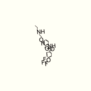 CCCNCCOc1ccc(NS(=O)(=O)c2ccc(OC(F)(F)F)cc2)c(C)n1